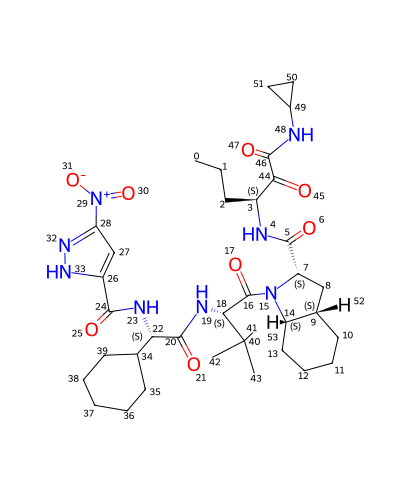 CCC[C@H](NC(=O)[C@@H]1C[C@@H]2CCCC[C@@H]2N1C(=O)[C@@H](NC(=O)[C@@H](NC(=O)c1cc([N+](=O)[O-])n[nH]1)C1CCCCC1)C(C)(C)C)C(=O)C(=O)NC1CC1